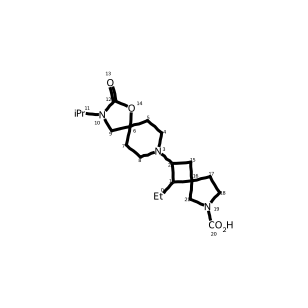 CCC1C(N2CCC3(CC2)CN(C(C)C)C(=O)O3)CC12CCN(C(=O)O)C2